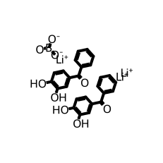 O=C(c1ccccc1)c1ccc(O)c(O)c1.O=C(c1ccccc1)c1ccc(O)c(O)c1.[Li+].[Li+].[Li+].[O-]B([O-])[O-]